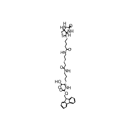 O=C(CCCCCNC(=O)CCCC[C@@H]1SC[C@@H]2NC(=O)N[C@@H]21)NCCCC[C@H](NC(=O)OCC1c2ccccc2-c2ccccc21)C(=O)O